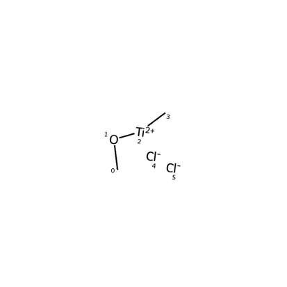 C[O][Ti+2][CH3].[Cl-].[Cl-]